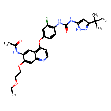 CCOCCOc1cc2nccc(Oc3ccc(NC(=O)Nc4cc(C(C)(C)C)n[nH]4)c(Cl)c3)c2cc1NC(C)=O